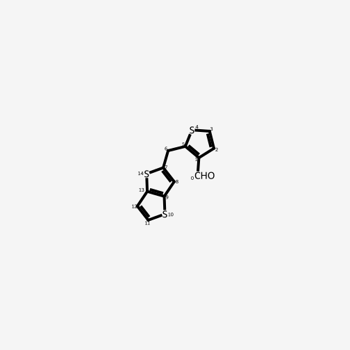 O=Cc1ccsc1Cc1cc2sccc2s1